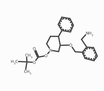 CC(C)(C)OC(=O)ON1CCC(c2ccccc2)C(OCc2ccccc2CN)C1